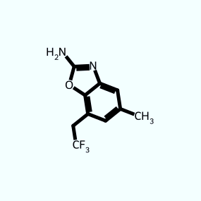 Cc1cc(CC(F)(F)F)c2oc(N)nc2c1